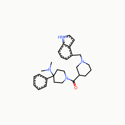 CN(C)C1(c2ccccc2)CCN(C(=O)C2CCCN(Cc3cccc4[nH]ccc34)C2)CC1